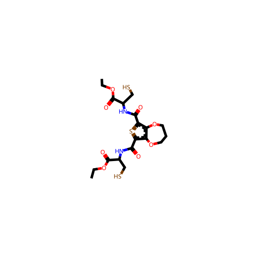 CCOC(=O)C(CS)NC(=O)c1sc(C(=O)NC(CS)C(=O)OCC)c2c1OCCCO2